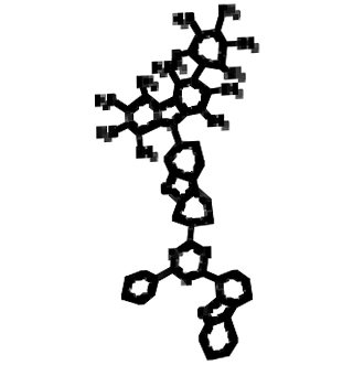 Bc1c(B)c(B)c(-c2c(B)c(B)c3c(c2B)c2c(B)c(B)c(B)c(B)c2n3-c2ccc3c(c2)oc2cc(-c4nc(-c5ccccc5)nc(-c5cccc6c5oc5ccccc56)n4)ccc23)c(B)c1B